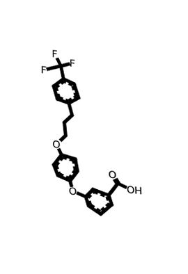 O=C(O)c1cccc(Oc2ccc(OCCCc3ccc(C(F)(F)F)cc3)cc2)c1